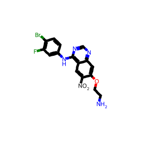 NCCOc1cc2ncnc(Nc3ccc(Br)c(F)c3)c2cc1[N+](=O)[O-]